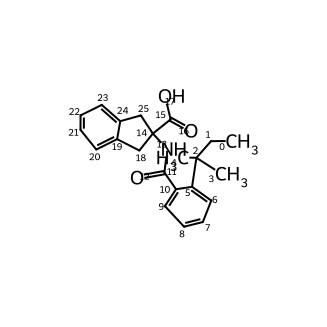 CCC(C)(C)c1ccccc1C(=O)NC1(C(=O)O)Cc2ccccc2C1